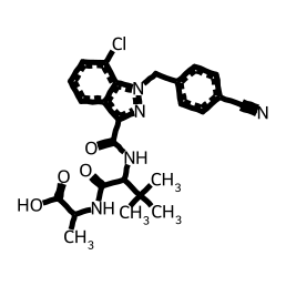 CC(NC(=O)C(NC(=O)c1nn(Cc2ccc(C#N)cc2)c2c(Cl)cccc12)C(C)(C)C)C(=O)O